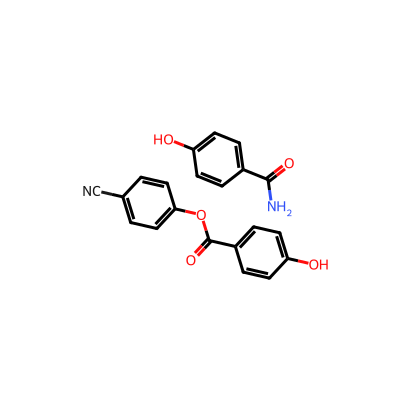 N#Cc1ccc(OC(=O)c2ccc(O)cc2)cc1.NC(=O)c1ccc(O)cc1